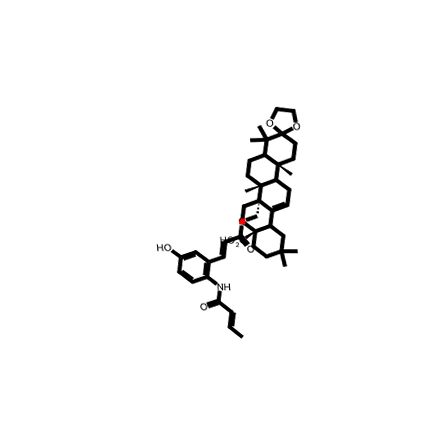 C/C=C/C(=O)Nc1ccc(O)cc1/C=C/C(=O)OC[C@@]12CC[C@@]3(C(=O)O)CCC(C)(C)CC3C1=CCC1[C@@]3(C)CCC4(OCCO4)C(C)(C)C3CC[C@]12C